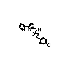 O=C(CSc1ccc(Cl)cc1)Nc1nc(-c2ccccn2)cs1